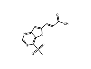 CS(=O)(=O)c1ncnc2cc(C=CC(=O)O)sc12